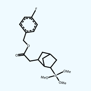 CO[Si](OC)(OC)C1CC2CC(CC(=O)OCc3ccc(F)cc3)C1C2